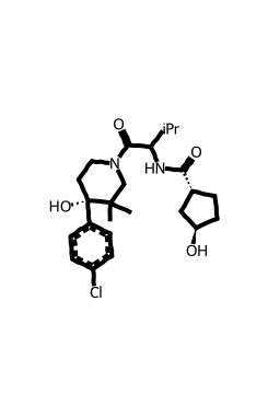 CC(C)C(NC(=O)[C@@H]1CC[C@@H](O)C1)C(=O)N1CC[C@](O)(c2ccc(Cl)cc2)C(C)(C)C1